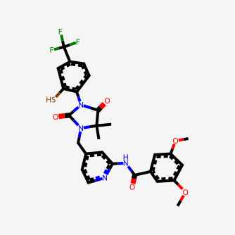 COc1cc(OC)cc(C(=O)Nc2cc(CN3C(=O)N(c4ccc(C(F)(F)F)cc4S)C(=O)C3(C)C)ccn2)c1